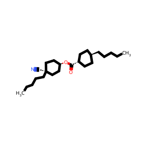 CCCCC[C@H]1CC[C@H](C(=O)O[C@H]2CC[C@](C#N)(CCCCC)CC2)CC1